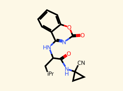 CC(C)CC(Nc1nc(=O)oc2ccccc12)C(=O)NC1(C#N)CC1